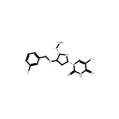 O=c1[nH]c(=O)n([C@@H]2CC(OCc3cccc(F)c3)[C@H](CO)O2)cc1F